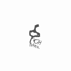 C=Cc1ccc(C(O)CCCCCCC)cc1